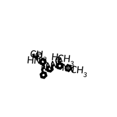 C=CC(=O)Nc1cccc(N(Cc2ccccc2)c2cccc(Nc3ccc(N4CCN(C)CC4)cc3OC)n2)c1